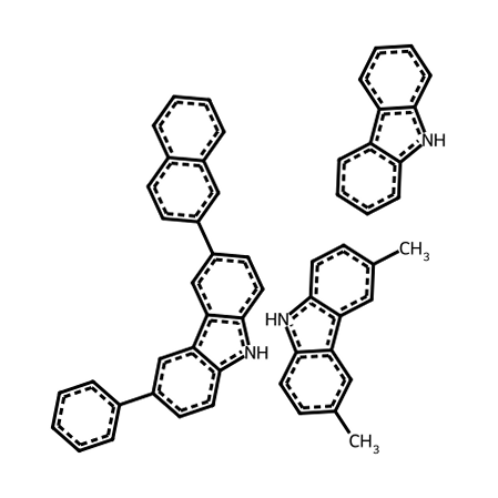 Cc1ccc2[nH]c3ccc(C)cc3c2c1.c1ccc(-c2ccc3[nH]c4ccc(-c5ccc6ccccc6c5)cc4c3c2)cc1.c1ccc2c(c1)[nH]c1ccccc12